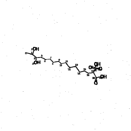 CC(O)C(O)CCCCCCCCCCCCC(C(=O)O)S(=O)(=O)O